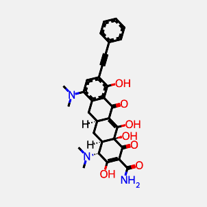 CN(C)c1cc(C#Cc2ccccc2)c(O)c2c1C[C@@H]1C[C@@H]3[C@@H](N(C)C)C(O)=C(C(N)=O)C(=O)[C@@]3(O)C(O)=C1C2=O